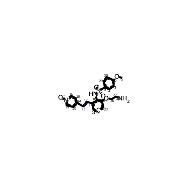 COc1ccc(S(=O)(=O)Nc2c(/C=C/c3cc[n+]([O-])cc3)cccc2OCCN)cc1